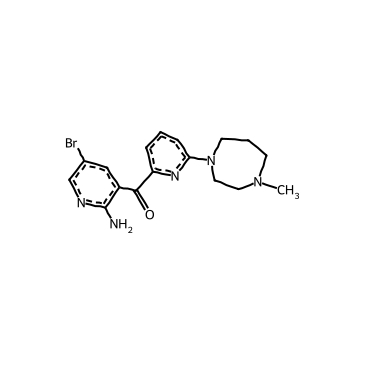 CN1CCCN(c2cccc(C(=O)c3cc(Br)cnc3N)n2)CC1